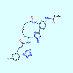 COC(=O)Nc1ccc2c(c1)NC(=O)CCCCCC(NC(=O)/C=C/c1cc(Cl)ccc1-n1cnnn1)c1nc-2c[nH]1